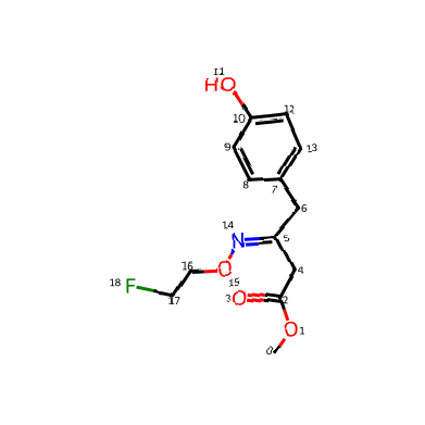 COC(=O)CC(Cc1ccc(O)cc1)=NOCCF